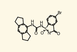 O=C(Nc1c2c(cc3c1CCC3)CCC2)NS1(=O)=NC(=O)c2cc(Br)ccc21